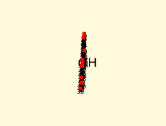 CCCCCCCCCCCCCCCCOCCCCCCCCCCCCCCCC.[KH]